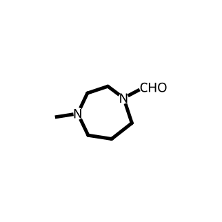 CN1CCCN(C=O)CC1